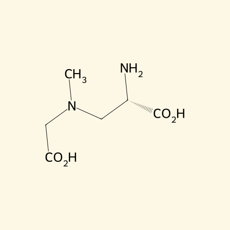 CN(CC(=O)O)C[C@H](N)C(=O)O